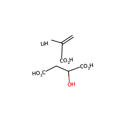 C=C(C)C(=O)O.O=C(O)CC(O)C(=O)O.[LiH]